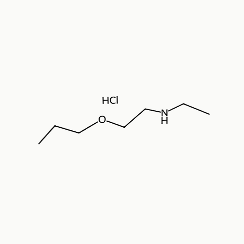 CCCOCCNCC.Cl